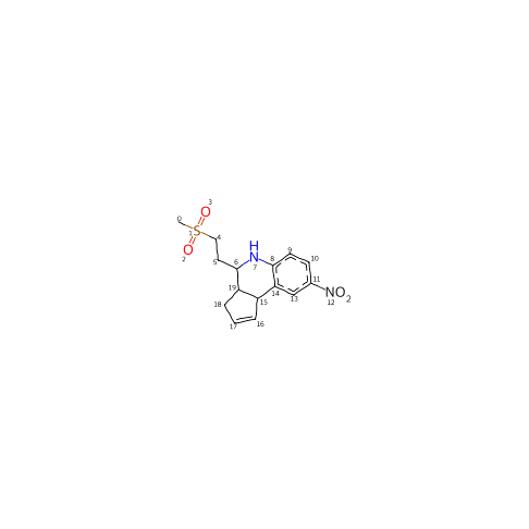 CS(=O)(=O)CCC1Nc2ccc([N+](=O)[O-])cc2C2C=CCC12